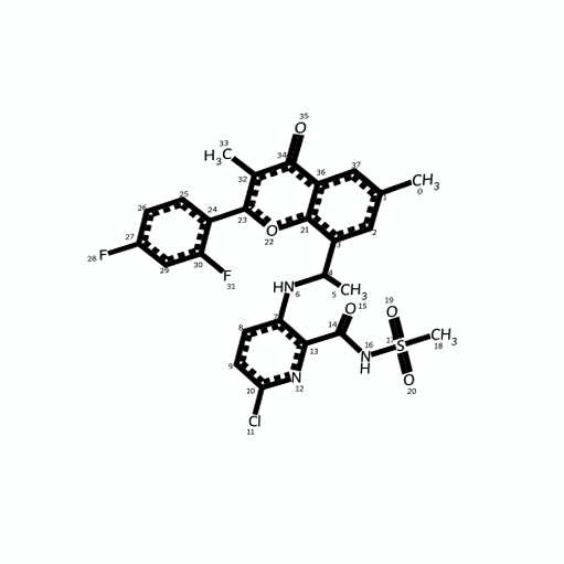 Cc1cc(C(C)Nc2ccc(Cl)nc2C(=O)NS(C)(=O)=O)c2oc(-c3ccc(F)cc3F)c(C)c(=O)c2c1